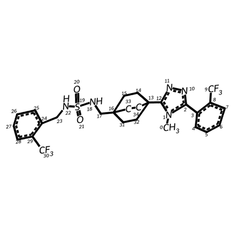 Cn1c(-c2ccccc2C(F)(F)F)nnc1C12CCC(CNS(=O)(=O)NCc3ccccc3C(F)(F)F)(CC1)CC2